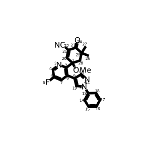 COC1(c2ncc(F)cc2-c2cnn(-c3ccccc3)c2)C=C(C#N)C(=O)C(C)(C)C1